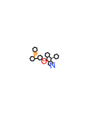 c1ccc(-c2c3ccccc3c(Oc3ccc4c(c3)c3ccccc3p4-c3ccccc3)c3ccncc23)cc1